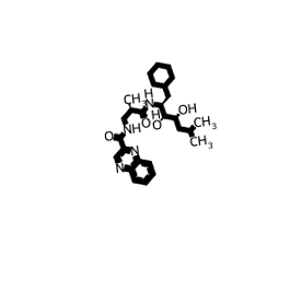 CC(C)C[C@H](O)[C@H](O)[C@H](CC1CCCCC1)NC(=O)[C@@H](C)CNC(=O)c1cnc2ccccc2n1